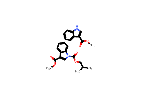 COC(=O)c1c[nH]c2ccccc12.COC(=O)c1cn(C(=O)OCC(C)C)c2ccccc12